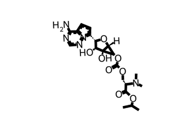 CC(C)OC(=O)[C@H](COC(=O)OC1[C@H]2O[C@@H](c3ccc4c(N)ncnn34)[C@H](O)[C@@]12O)N(C)C